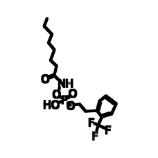 CCCCCCCC(=O)NOP(=O)(O)OCCc1ccccc1C(F)(F)F